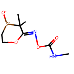 CNC(=O)ON=C1OCC[S+]([O-])C1(C)C